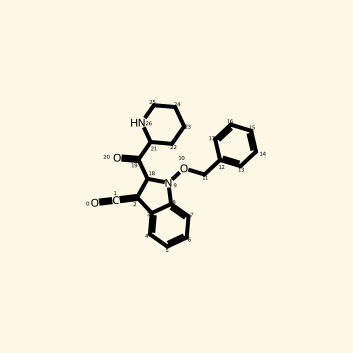 O=C=C1c2ccccc2N(OCc2ccccc2)C1C(=O)C1CCCCN1